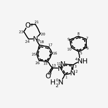 Nc1nc(Nc2ccccc2)nn1C(=O)c1ccc(N2CCOCC2)cc1